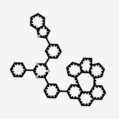 c1ccc(-c2nc(-c3cccc(-c4cc5ccc6cccc7c8cccc9ccc%10cccc(c(c4)c5c67)c%10c98)c3)nc(-c3cccc(-c4cc5ccccc5o4)c3)n2)cc1